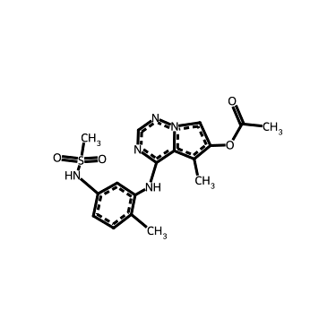 CC(=O)Oc1cn2ncnc(Nc3cc(NS(C)(=O)=O)ccc3C)c2c1C